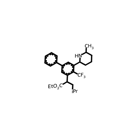 CCOC(=O)C(CC(C)C)c1cc(-c2ccccc2)cc(C2CCCC(C)N2)c1C(F)(F)F